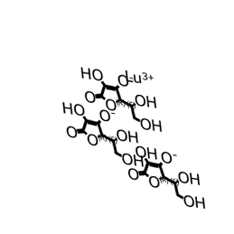 O=C1O[C@H]([C@@H](O)CO)C([O-])=C1O.O=C1O[C@H]([C@@H](O)CO)C([O-])=C1O.O=C1O[C@H]([C@@H](O)CO)C([O-])=C1O.[Lu+3]